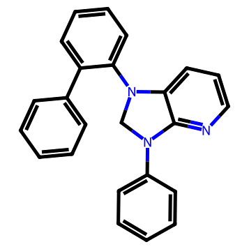 c1ccc(-c2ccccc2N2CN(c3ccccc3)c3ncccc32)cc1